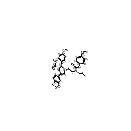 CCCN(CCN1CC(c2ccc3c(c2)OCO3)[C@H](C(=O)O)[C@H]1c1ccc(OC)cc1)C(=O)Oc1ccc(OC)cc1